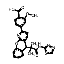 COc1cc(-c2ccc3c(n2)Oc2ccccc2[C@@H]3C(C)(C)C(=O)Nc2nncs2)ccc1C(=O)O